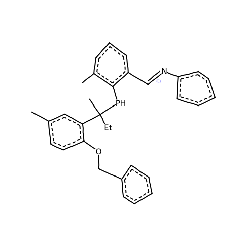 CCC(C)(Pc1c(C)cccc1/C=N/c1ccccc1)c1cc(C)ccc1OCc1ccccc1